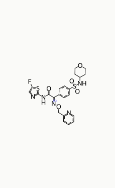 O=C(Nc1ncc(F)s1)/C(=N/OCc1ccccn1)c1ccc(S(=O)(=O)NC2CCOCC2)cc1